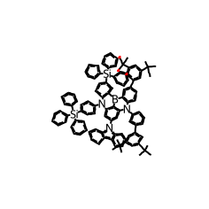 CC(C)(C)c1cc(-c2cccc(N3c4ccc(-c5cc(C(C)(C)C)cc(C(C)(C)C)c5)cc4B4c5cc([Si](c6ccccc6)(c6ccccc6)c6ccccc6)ccc5N(c5ccc([Si](c6ccccc6)(c6ccccc6)c6ccccc6)cc5)c5cc(-n6c7ccccc7c7ccccc76)cc3c54)c2)cc(C(C)(C)C)c1